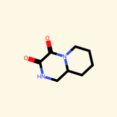 O=C1NCC2CCCCN2C1=O